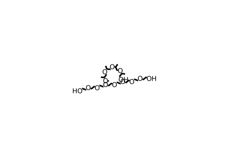 COC(C)COC(C)COC(C)COC(C)CO.OCCOCCOCCOCCOCCOCCOCCOCCO